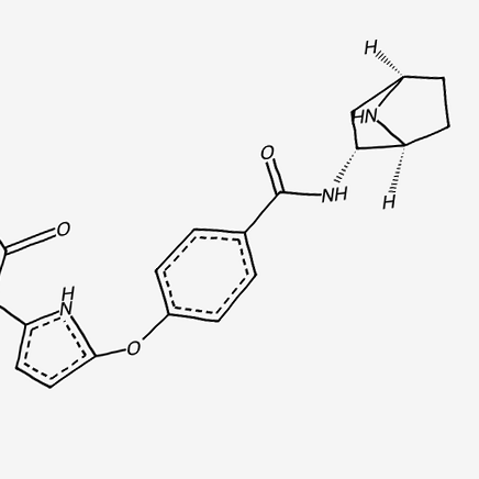 CC(=O)Nc1ccc(Oc2ccc(C(=O)N[C@@H]3C[C@H]4CC[C@@H]3N4)cc2)[nH]1